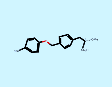 CCCCc1ccc(OCc2ccc(C[C@H](OC)C(=O)O)cc2)cc1